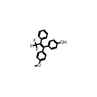 COc1ccc(C(=C(c2ccccc2)C(F)(F)F)c2ccc(O)cc2)cc1